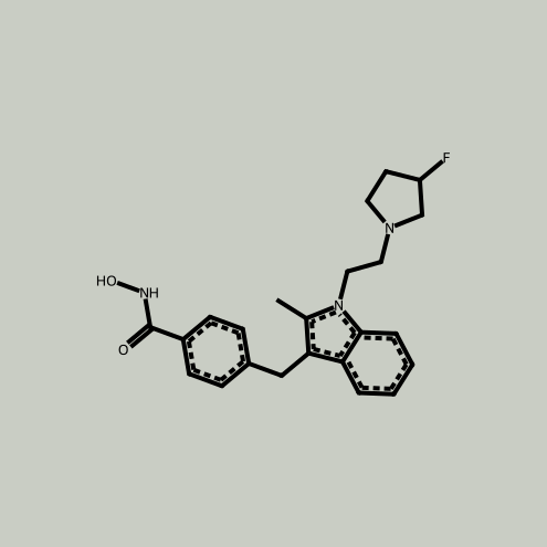 Cc1c(Cc2ccc(C(=O)NO)cc2)c2ccccc2n1CCN1CCC(F)C1